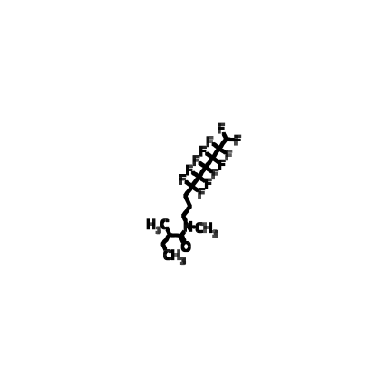 CCC(C)C(=O)N(C)CCCC(F)(F)C(F)(F)C(F)(F)C(F)(F)C(F)(F)C(F)F